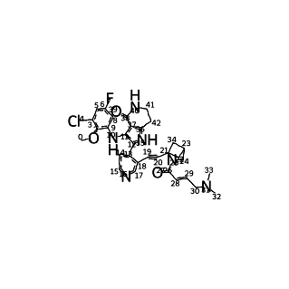 COc1c(Cl)cc(F)cc1Nc1c(-c2ccncc2C#CC23CC(CN2C(=O)/C=C/CN(C)C)C3)[nH]c2c1C(=O)NCC2